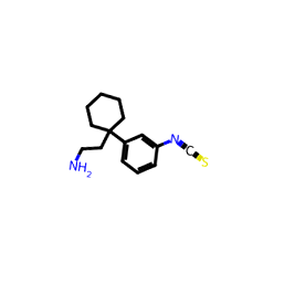 NCCC1(c2cccc(N=C=S)c2)CCCCC1